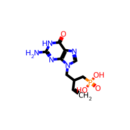 C=CC(Cn1cnc2c(=O)[nH]c(N)nc21)CP(=O)(O)O